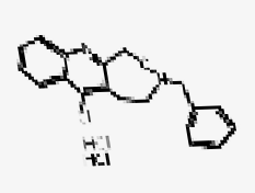 Cl.Cl.Clc1c2c(nc3ccccc13)CCN(Cc1ccccc1)CC2